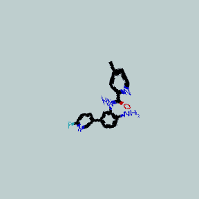 Cc1ccnc(C(=O)Nc2cc(-c3ccc(F)nc3)ccc2N)c1